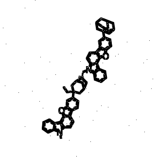 CCC1(c2ccc3c(c2)oc2c3ccc3c2c2ccccc2n3C)CC2CC(C1)[C@H](Cn1c3ccccc3c3c4oc5ccc(C67CC8CC(CC(C8)C6)C7)cc5c4ccc31)C2